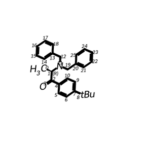 C[C@H](C(=O)c1ccc(C(C)(C)C)cc1)N(Cc1ccccc1)Cc1ccccc1